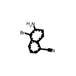 N#Cc1cccc2c(Br)c(N)ccc12